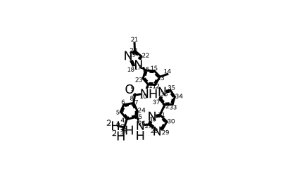 [2H]C([2H])([2H])c1ccc(C(=O)Nc2cc(C)cc(-n3cnc(C)c3)c2)cc1Nc1nccc(-c2cccnc2)n1